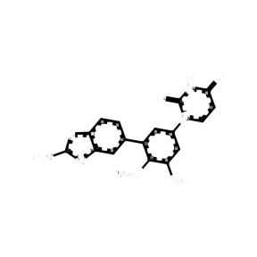 COc1c(-c2ccc3sc(N)nc3c2)cc(-n2ccc(=O)[nH]c2=O)cc1C(C)(C)C